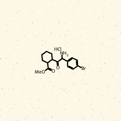 COC(=O)C1CCCCC1C(=O)C(N)c1ccc(Br)cc1.Cl